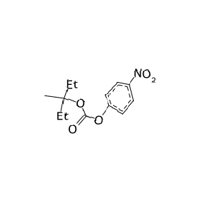 CCC(C)(CC)OC(=O)Oc1ccc([N+](=O)[O-])cc1